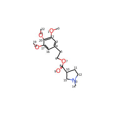 COc1cc(CCOC(=O)C2CCN(C)C2)cc(OC)c1OC